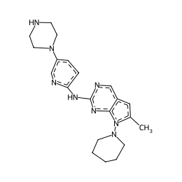 Cc1cc2cnc(Nc3ccc(N4CCNCC4)cn3)nc2n1N1CCCCC1